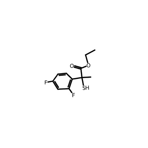 CCOC(=O)C(C)(S)c1ccc(F)cc1F